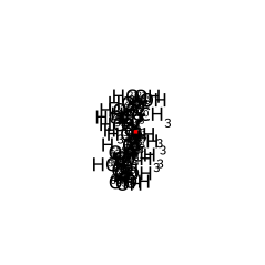 CC(C)=CCC[C@](C)(CO[C@@H]1OC(CO[C@@H]2OC(CO)[C@@H](O)[C@@H](O)C2O)[C@@H](O)[C@@H](O)C1O)C1CC[C@@]2(C)C1C(O)CC1[C@@]3(C)CCC(O[C@@H]4OC(CO)[C@@H](O)[C@@H](O)C4O[C@@H]4OC(CO)[C@@H](O)[C@@H](O)C4O)C(C)(C)C3CC[C@]12C